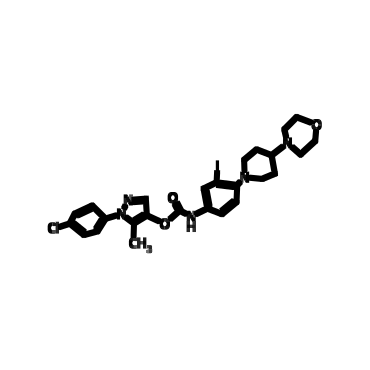 Cc1c(OC(=O)Nc2ccc(N3CCC(N4CCOCC4)CC3)c(I)c2)cnn1-c1ccc(Cl)cc1